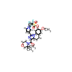 COc1cc2c(cc1OS(=O)(=O)C(F)(F)F)-n1c(-c3ccn(C)c3)nc(C(=O)N3CCOCC3(C)C)c1CC2